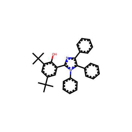 CC(C)(C)c1cc(-c2nc(-c3ccccc3)c(-c3ccccc3)n2-c2ccccc2)c(O)c(C(C)(C)C)c1